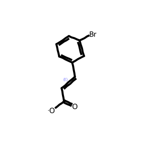 [O]C(=O)/C=C/c1cccc(Br)c1